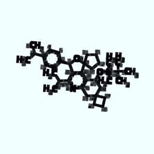 CC(C)c1ccc([C@H]2OC3(CCCC3)c3c4c(nc(C(C)C)c32)CC2(CCC2)CC4O[Si](C)(C)C(C)(C)C)cc1